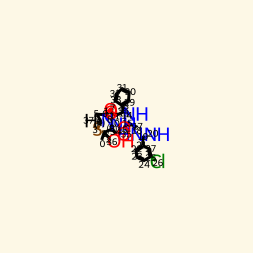 CC1(C)S[C@@H]2CC(=O)N2[C@@]1(NC(=O)C(NC(=O)CNC(=N)c1cccc(Cl)c1)c1ccccc1)C(=O)O